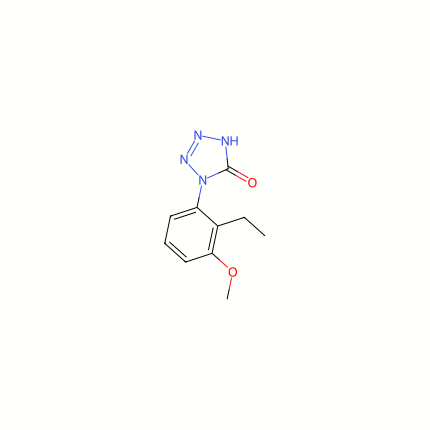 CCc1c(OC)cccc1-n1nn[nH]c1=O